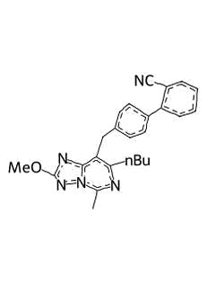 CCCCc1nc(C)n2nc(OC)nc2c1Cc1ccc(-c2ccccc2C#N)cc1